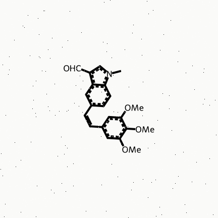 COc1cc(/C=C\c2ccc3c(c2)c(C=O)cn3C)cc(OC)c1OC